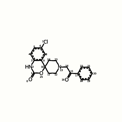 O=C1Nc2ccc(Cl)cc2C2(CCN(CC(=O)c3ccccc3)CC2)O1